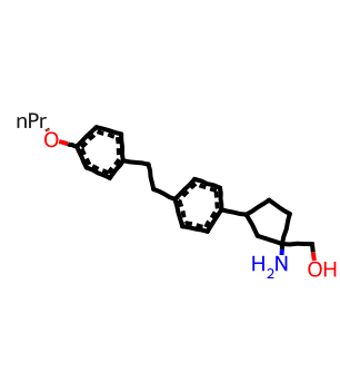 CCCOc1ccc(CCc2ccc(C3CCC(N)(CO)C3)cc2)cc1